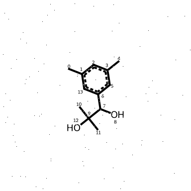 Cc1cc(C)cc(C(O)C(C)(C)O)c1